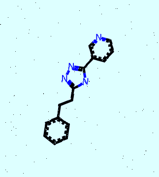 c1ccc(CCC2=NN=C(c3cccnc3)[N]2)cc1